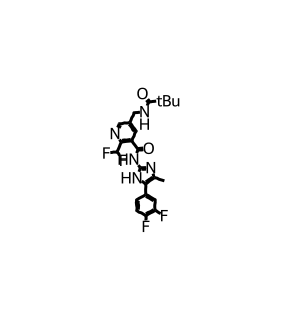 Cc1nc(NC(=O)c2cc(CNC(=O)C(C)(C)C)cnc2C(F)F)[nH]c1-c1ccc(F)c(F)c1